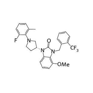 COc1cccc2c1n(Cc1ccccc1C(F)(F)F)c(=O)n2[C@@H]1CCN(c2c(C)cccc2F)C1